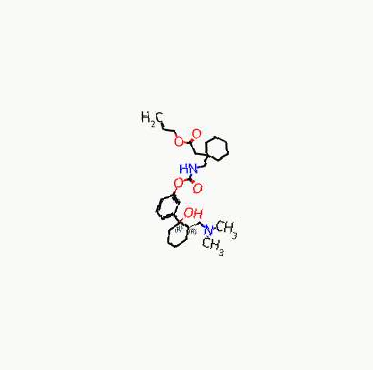 C=CCOC(=O)CC1(CNC(=O)Oc2cccc([C@@]3(O)CCCC[C@@H]3CN(C)C)c2)CCCCC1